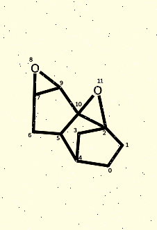 C1CC23CC1C1CC4OC4C12O3